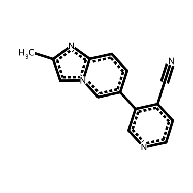 Cc1cn2cc(-c3cnccc3C#N)ccc2n1